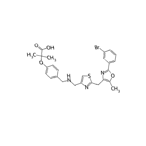 Cc1oc(-c2cccc(Br)c2)nc1Cc1nc(CNCc2ccc(OC(C)(C)C(=O)O)cc2)cs1